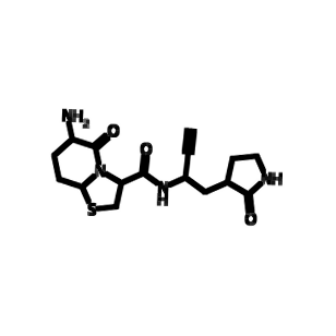 C#CC(CC1CCNC1=O)NC(=O)C1CSC2CCC(N)C(=O)N21